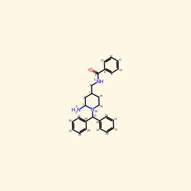 NC1CC(CNC(=O)c2ccccc2)CCN1C(c1ccccc1)c1ccccc1